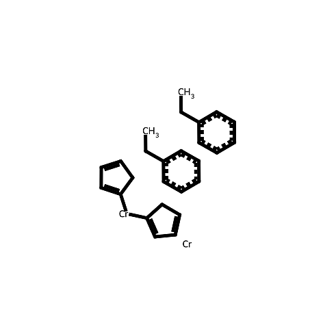 C1=CC[C]([Cr][C]2=CC=CC2)=C1.CCc1ccccc1.CCc1ccccc1.[Cr]